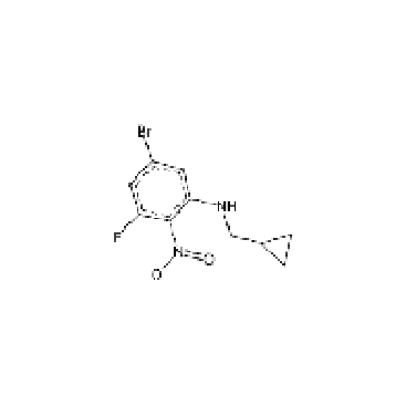 O=[N+]([O-])c1c(F)cc(Br)cc1NCC1CC1